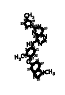 Cc1cc(Nc2ncnc3cnc(N4CCC(C)C4)nc23)ccc1Oc1ccc2c(c1)ncn2C